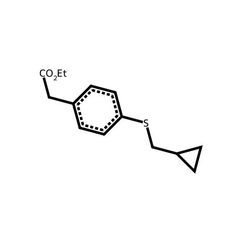 CCOC(=O)Cc1ccc(SCC2CC2)cc1